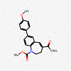 CCCOc1ccc(-c2ccc3c(c2)C=C(C(=O)OC)CCN3C(=O)OC(C)(C)C)cc1